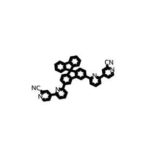 N#Cc1cc(-c2cccc(-c3ccc4c(c3)-c3cc(-c5cccc(-c6ccnc(C#N)c6)n5)ccc3C43c4ccccc4-c4ccccc43)n2)ccn1